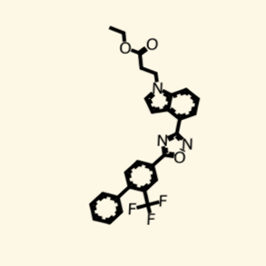 CCOC(=O)CCn1ccc2c(-c3noc(-c4ccc(-c5ccccc5)c(C(F)(F)F)c4)n3)cccc21